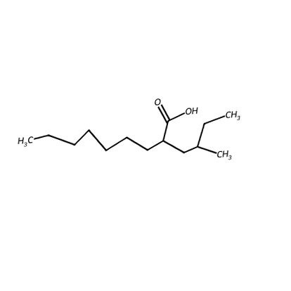 CCCCCCCC(CC(C)CC)C(=O)O